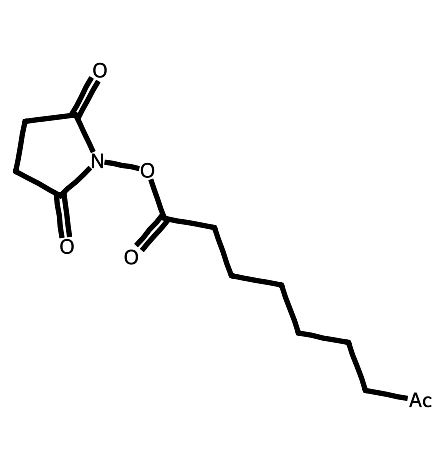 CC(=O)CCCCCCC(=O)ON1C(=O)CCC1=O